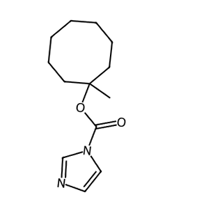 CC1(OC(=O)n2ccnc2)CCCCCCC1